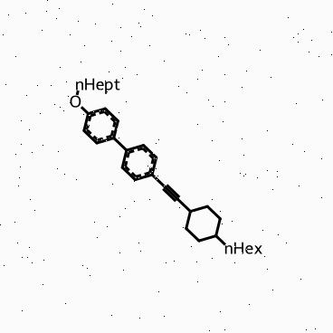 CCCCCCCOc1ccc(-c2ccc(C#CC3CCC(CCCCCC)CC3)cc2)cc1